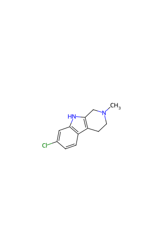 CN1CCc2c([nH]c3cc(Cl)ccc23)C1